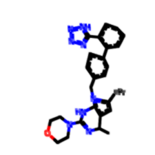 CCCc1cc2c(n1Cc1ccc(-c3ccccc3-c3nnn[nH]3)cc1)NC(N1CCOCC1)=NC2C